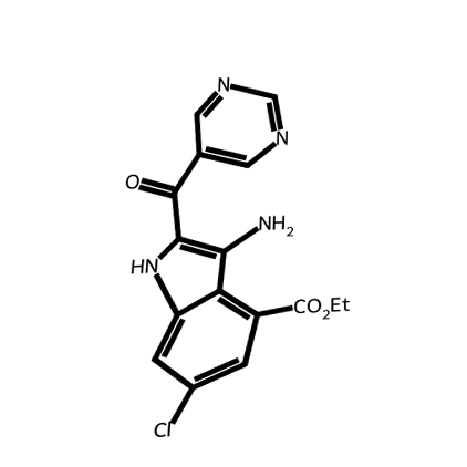 CCOC(=O)c1cc(Cl)cc2[nH]c(C(=O)c3cncnc3)c(N)c12